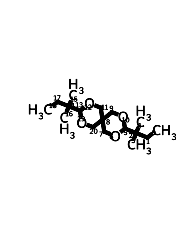 CCC(C)(C)C1OCC2(CO1)COC(C(C)(C)CC)OC2